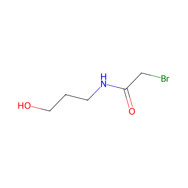 O=C(CBr)NCCCO